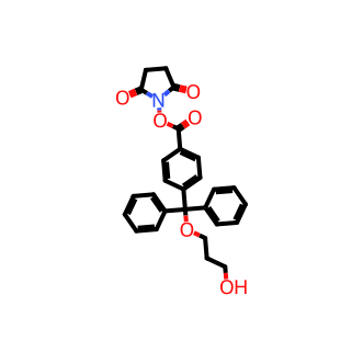 O=C(ON1C(=O)CCC1=O)c1ccc(C(OCCCO)(c2ccccc2)c2ccccc2)cc1